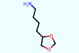 NCCCCC1COCO1